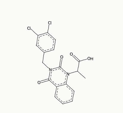 CC(C(=O)O)n1c(=O)n(Cc2ccc(Cl)c(Cl)c2)c(=O)c2ccccc21